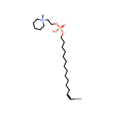 CCCCCCCC/C=C\CCCCCCCCCCCCOP(=O)(O)OCC[N+]1(C)CCCCC1